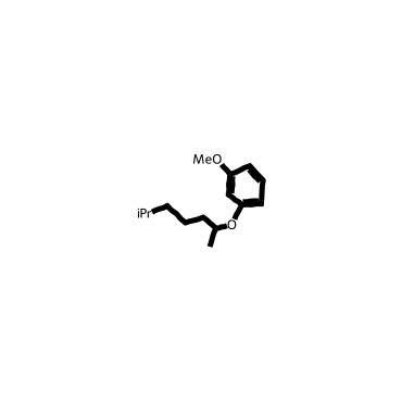 COc1cccc(OC(C)CCCC(C)C)c1